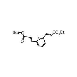 CCOC(=O)/C=C/c1cccc(/C=C/C(=O)OC(C)(C)C)n1